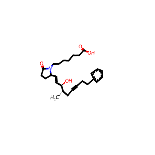 C[C@@H](CC#CCCc1ccccc1)[C@H](O)/C=C/C1CCC(=O)N1CCCCCCC(=O)O